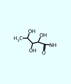 CC(O)C(O)C(O)C([NH])=O